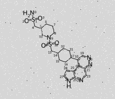 NS(=O)(=O)CC1CCCN(S(=O)(=O)CC2CCC(c3cnnc4cnc5[nH]ccc5c34)CC2)C1